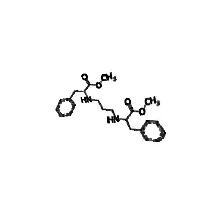 COC(=O)C(Cc1ccccc1)NCCCNC(Cc1ccccc1)C(=O)OC